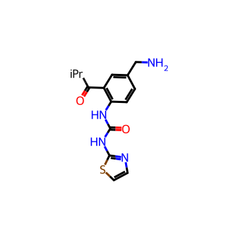 CC(C)C(=O)c1cc(CN)ccc1NC(=O)Nc1nccs1